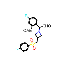 COc1cc(F)ccc1C(C=O)N1CC(CS(=O)(=O)c2ccc(F)cc2)C1